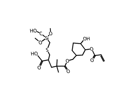 C=CC(=O)OC1CC(COC(=O)C(C)(C)CC(CSC[Si](CO)(OC)OC)C(=O)O)CCC1O